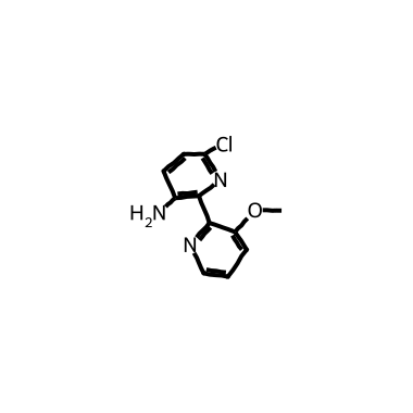 COc1cccnc1-c1nc(Cl)ccc1N